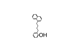 Oc1ccccc1CCCCc1cccc2ccccc12